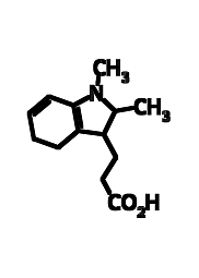 CC1C(CCC(=O)O)C2=C(C=CCC2)N1C